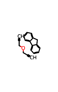 C#CCOCC#C.c1ccc2c(c1)Cc1ccccc1-2